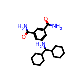 NC(=O)c1cccc(C(N)=O)c1.NC(C1CCCCC1)C1CCCCC1